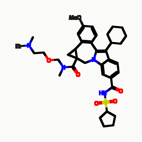 CCN(C)CCOCN(C)C(=O)C12CC1c1cc(OC)ccc1-c1c(C3CCCCC3)c3ccc(C(=O)NS(=O)(=O)C4CCCC4)cc3n1C2